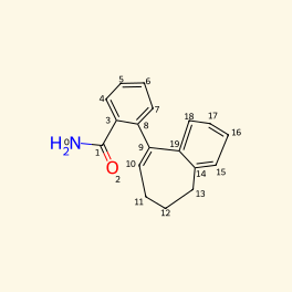 NC(=O)c1ccccc1C1=CCCCc2ccccc21